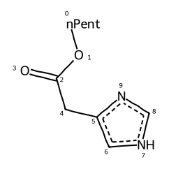 CCCCCOC(=O)Cc1c[nH]cn1